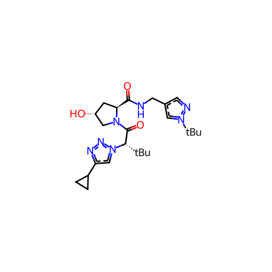 CC(C)(C)[C@@H](C(=O)N1C[C@H](O)C[C@H]1C(=O)NCc1cnn(C(C)(C)C)c1)n1cc(C2CC2)nn1